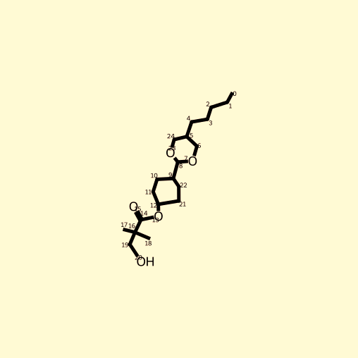 CCCCCC1COC(C2CCC(OC(=O)C(C)(C)CO)CC2)OC1